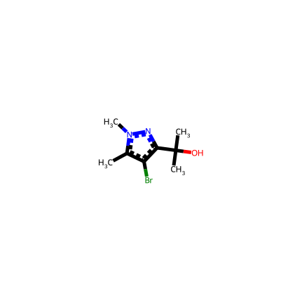 Cc1c(Br)c(C(C)(C)O)nn1C